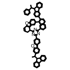 CC(c1ccc2c(c1)oc1cc(-c3nc(-c4ccccc4)nc(C4CC#Cc5oc6ccc(-c7ccccc7-c7ccc8c(c7)-c7ccccc7C8C(C)c7ccccc7)cc6c54)n3)ccc12)C1c2ccccc2-c2ccccc21